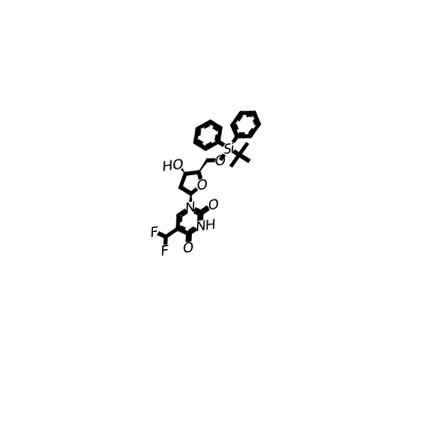 CC(C)(C)[Si](OC[C@H]1O[C@@H](n2cc(C(F)F)c(=O)[nH]c2=O)C[C@@H]1O)(c1ccccc1)c1ccccc1